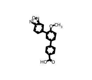 COc1ccc(-c2ccc(C(=O)O)cc2)cc1-c1ccc2nonc2c1